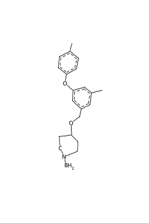 BN1CCC(OCc2cc(C)cc(Oc3ccc(C)cc3)c2)CC1